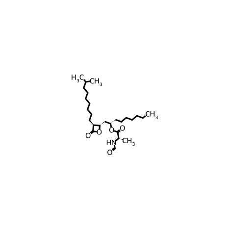 CCCCCCC[C@@H](C[C@@H]1OC(=O)[C@H]1CCCCCCCC(C)C)OC(=O)[C@H](C)NC=O